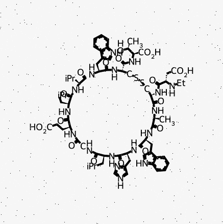 CCN[C@@H](CC(=O)O)C(=O)N[C@H]1CSSC[C@@H](C(=O)N[C@H](C(=O)O)[C@@H](C)O)NC(=O)[C@H](Cc2c[nH]c3ccccc23)NC(=O)[C@H](C(C)C)NC(=O)[C@H](CC(C)C)NC(=O)[C@H](CCC(=O)O)NC(=O)CNC(=O)[C@H](CC(C)C)NC(=O)[C@H](Cc2c[nH]cn2)NC(=O)[C@H](Cc2c[nH]c3ccccc23)NC(=O)[C@H](C)NC1=O